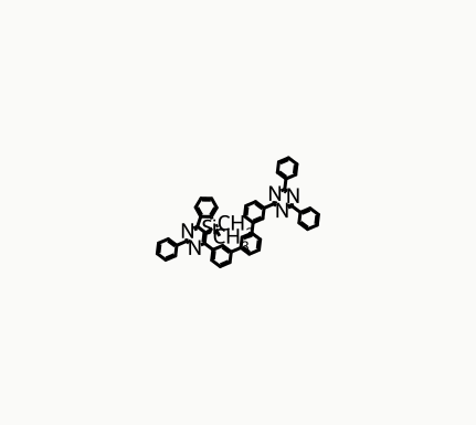 C[Si]1(C)c2ccccc2-c2nc(-c3ccccc3)nc(-c3cccc(-c4cccc(-c5cccc(-c6nc(-c7ccccc7)nc(-c7ccccc7)n6)c5)c4)c3)c21